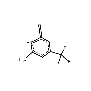 CCC(F)(F)c1cc(C)[nH]c(=O)c1